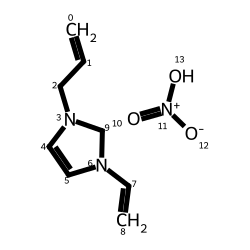 C=CCN1C=CN(C=C)C1.O=[N+]([O-])O